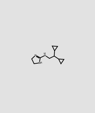 C1CNC(NCC(C2CC2)C2CC2)=N1